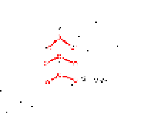 [Mo+6].[Ni].[O-]O[O-].[O-]O[O-].[O-]O[O-]